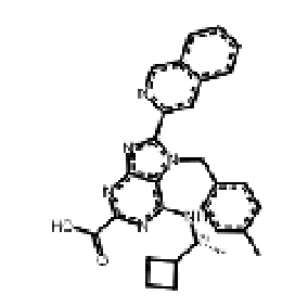 Cc1ccc(Cn2c(-c3cc4ccccc4cn3)nc3nc(C(=O)O)nc(N[C@H](C)C4CCC4)c32)cc1